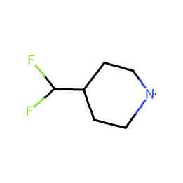 FC(F)C1CC[N]CC1